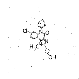 Cn1c(C2CC(O)C2)nc2c(=O)n(-c3ccccc3)c3cc(Cl)ccc3c21